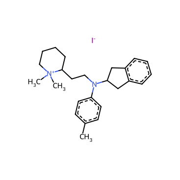 Cc1ccc(N(CCC2CCCC[N+]2(C)C)C2Cc3ccccc3C2)cc1.[I-]